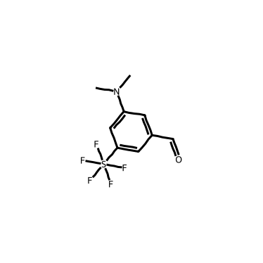 CN(C)c1cc(C=O)cc(S(F)(F)(F)(F)F)c1